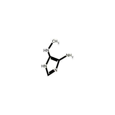 CNc1[nH]cnc1N